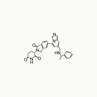 C[C@@H](NCc1cc(-c2ccc3c(c2)CN(C2CCC(=O)NC2=O)C3=O)n2cncc2c1)c1ccccc1